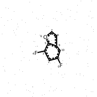 Fc1cc(F)c2occc2c1